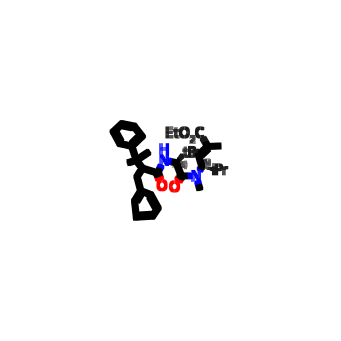 CCOC(=O)C(C)=C[C@H](C(C)C)N(C)C(=O)[C@@H](NC(=O)C(Cc1ccccc1)C(C)(C)c1ccccc1)C(C)(C)C